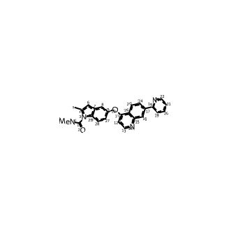 CNC(=O)n1c(C)cc2cc(Oc3ccnc4cc(-c5ccccn5)ccc34)ccc21